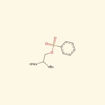 CCCCCCC(CCCC)COS(=O)(=O)c1ccccc1